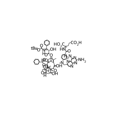 CC(=O)O[C@@]12CO[C@@H]1C[C@H](O)[C@@]1(C)C(=O)[C@H](O)C3=C(C)[C@@H](OC(=O)C(O)[C@@H](NC(=O)OC(C)(C)C)c4ccccc4)C[C@@](O)([C@@H](OC(=O)c4ccccc4)[C@H]21)C3(C)C.CN(Cc1cnc2nc(N)nc(N)c2n1)c1ccc(C(=O)N[C@@H](CCC(=O)O)C(=O)O)cc1